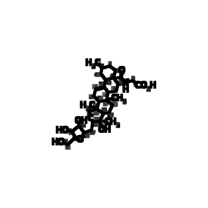 CC1CCC2(C(=O)NCC(=O)O)CCC3C(=CCC4C3(C)CCC3C4(C)CCC(CC4OC(CO)C(O)C4O)[C@@]3(C)O)C2C1